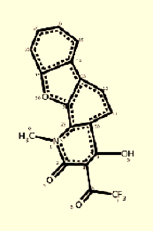 Cn1c(=O)c(C(=O)C(F)(F)F)c(O)c2ccc3c4ccccc4oc3c21